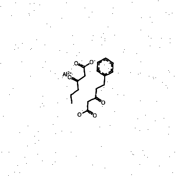 CCCC(=O)CC(=O)[O-].O=C([O-])CC(=O)CCc1ccccc1.[Al+2]